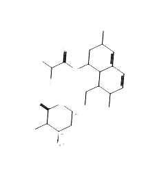 CCC(CC)C(=O)OC1CC(C)C=C2C=CC(C)C(CC[C@@H]3C[C@@H](O)C(C)C(=O)O3)C21